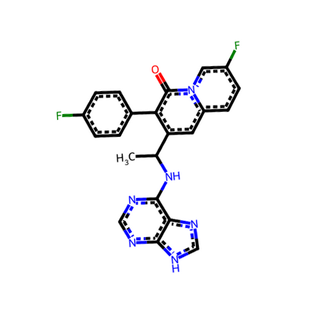 CC(Nc1ncnc2[nH]cnc12)c1cc2ccc(F)cn2c(=O)c1-c1ccc(F)cc1